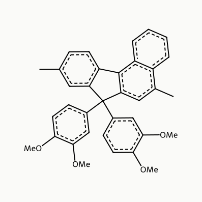 COc1ccc(C2(c3ccc(OC)c(OC)c3)c3cc(C)ccc3-c3c2cc(C)c2ccccc32)cc1OC